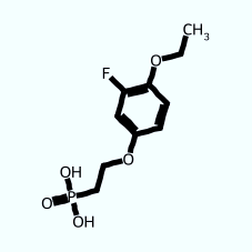 CCOc1ccc(OCCP(=O)(O)O)cc1F